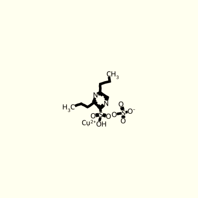 CCCc1cnc(S(=O)(=O)O)c(CCC)n1.O=S(=O)([O-])[O-].[Cu+2]